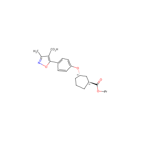 Cc1noc(-c2ccc(O[C@H]3CCC[C@H](C(=O)OC(C)C)C3)cc2)c1C(=O)O